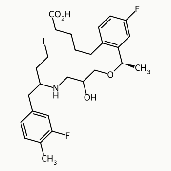 Cc1ccc(CC(CCI)NCC(O)CO[C@H](C)c2cc(F)ccc2CCCCC(=O)O)cc1F